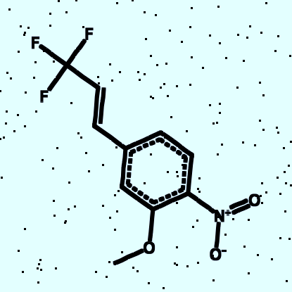 COc1cc(C=CC(F)(F)F)ccc1[N+](=O)[O-]